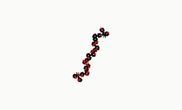 c1ccc(-n2c(-c3ccc(-c4cccc5cc6c(ccc7c(-c8cccc9cc%10c(ccc%11c(-c%12cccc%13c%12ccc%12cc%14c(-c%15cccc%16c%15ccc%15cc%17c(-c%18ccc(-c%19nc%20ccccc%20n%19-c%19ccccc%19)cc%18)cccc%17cc%15%16)cccc%14cc%12%13)cccc%11%10)cc89)cccc76)cc45)cc3)nc3ccccc32)cc1